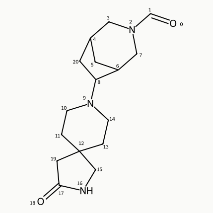 O=CN1CC2CC(C1)C(N1CCC3(CC1)CNC(=O)C3)C2